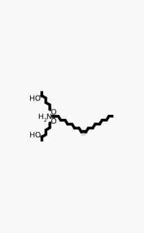 CCCCCCCC/C=C\CCCCCCCC(N)(OCCCCC(C)O)OCCCCC(C)O